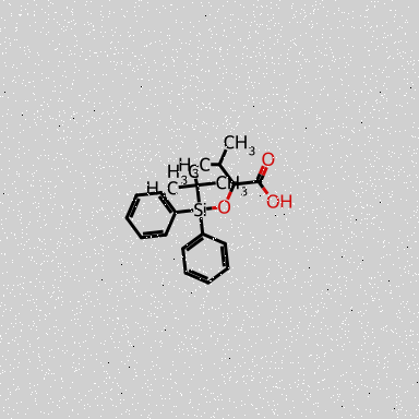 CC(C)C(O[Si](c1ccccc1)(c1ccccc1)C(C)(C)C)C(=O)O